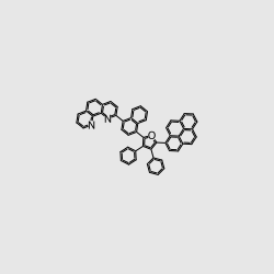 c1ccc(-c2c(-c3ccc(-c4ccc5ccc6cccnc6c5n4)c4ccccc34)oc(-c3ccc4ccc5cccc6ccc3c4c56)c2-c2ccccc2)cc1